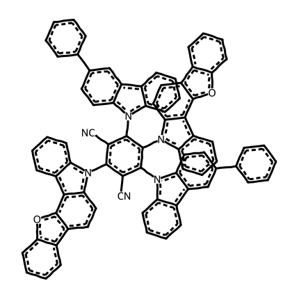 N#Cc1c(-n2c3ccccc3c3cc(-c4ccccc4)ccc32)c(-n2c3ccccc3c3c4oc5ccccc5c4ccc32)c(-n2c3ccccc3c3cc(-c4ccccc4)ccc32)c(C#N)c1-n1c2ccccc2c2c3oc4ccccc4c3ccc21